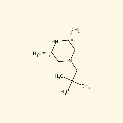 C[C@@H]1CN(CC(C)(C)C)C[C@H](C)N1